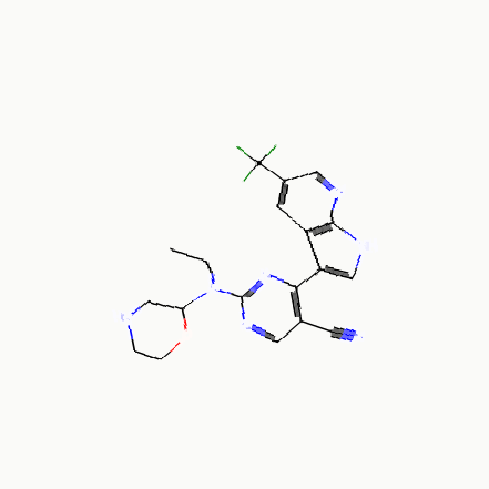 CCN(c1ncc(C#N)c(-c2c[nH]c3ncc(C(F)(F)F)cc23)n1)C1CNCCO1